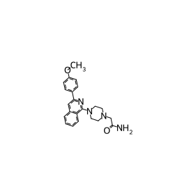 COc1ccc(-c2cc3ccccc3c(N3CCN(CC(N)=O)CC3)n2)cc1